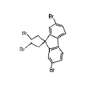 BrCCC1(CCBr)c2cc(Br)ccc2-c2ccc(Br)cc21